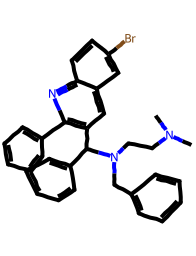 CN(C)CCN(Cc1ccccc1)C(c1ccccc1)c1cc2cc(Br)ccc2nc1-c1ccccc1